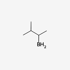 BC(C)C(C)C